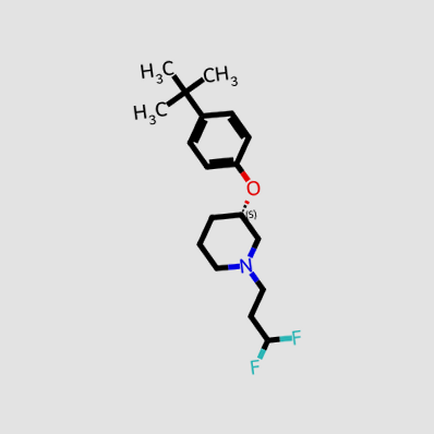 CC(C)(C)c1ccc(O[C@H]2CCCN(CCC(F)F)C2)cc1